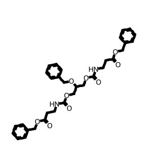 O=C(CCNC(=O)OCC(COC(=O)NCCC(=O)OCc1ccccc1)OCc1ccccc1)OCc1ccccc1